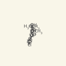 COc1cc(-n2ccc(COc3ccc(Cl)cn3)cc2=O)ccc1OCC(C)(C)O